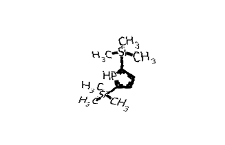 C[Si](C)(C)c1ccc([Si](C)(C)C)[pH]1